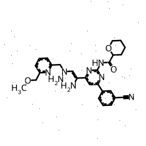 COCc1cccc(CN(N)/C=C(\N)c2cc(-c3cccc(C#N)c3)nc(NC(=O)C3CCCCO3)n2)n1